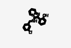 Oc1ccccc1-c1nc2ccccn2c1NCc1cccc(Cl)c1